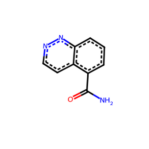 NC(=O)c1cccc2nnccc12